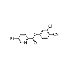 CCc1ccc(C(=O)Oc2ccc(C#N)c(Cl)c2)nc1